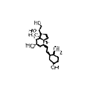 C=C1CC[C@@H](O)C/C1=C/C=C1\C[C@@H](O)C[C@]2(C)[C@@H]([C@H](O)CO)CC[C@@H]12